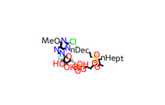 CCCCCCCCCCCCS(=O)(=O)C(CCCCCCC)C(C)OCCCOP(=O)(O)OC[C@H]1O[C@@H](n2cnc3c(OC)nc(Cl)nc32)[C@](O)(F)[C@@H]1O